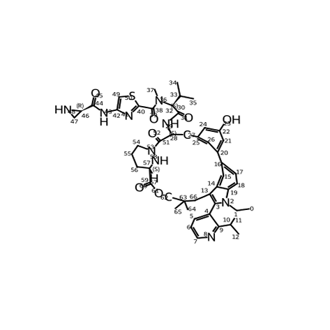 CCn1c(-c2cccnc2C(C)C)c2c3cc(ccc31)-c1cc(O)cc(c1)C[C@H](NC(=O)[C@H](C(C)C)N(C)C(=O)c1nc(NC(=O)[C@H]3CN3)cs1)C(=O)N1CCC[C@H](N1)C(=O)OCC(C)(C)C2